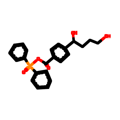 O=C(OP(=O)(c1ccccc1)c1ccccc1)c1ccc(C(O)CCCO)cc1